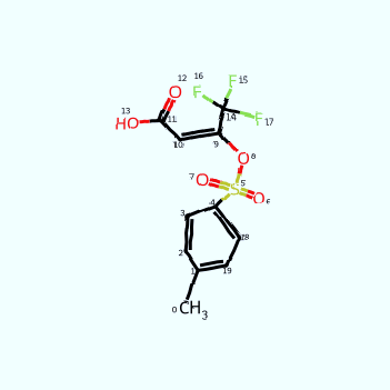 Cc1ccc(S(=O)(=O)OC(=CC(=O)O)C(F)(F)F)cc1